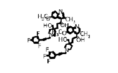 COc1ccc2ncc(C)c([C@H](O)CCC3(CO)CCN(CC#Cc4c(F)cc(F)cc4F)CC3)c2c1.COc1ccc2ncc(C)c([C@H](O)CCC3(CO)CCN(CC#Cc4cc(F)c(F)c(F)c4)CC3)c2c1